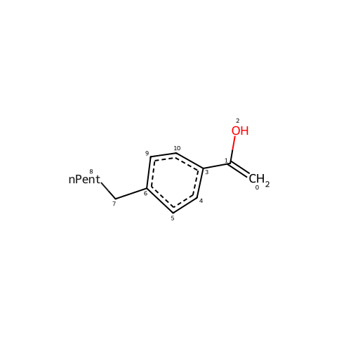 C=C(O)c1ccc(CCCCCC)cc1